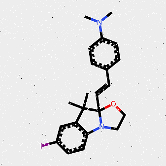 CN(C)c1ccc(C=CC23OCCN2c2ccc(I)cc2C3(C)C)cc1